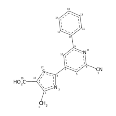 Cc1nc(-c2cc(C#N)nc(-c3ccccc3)c2)sc1C(=O)O